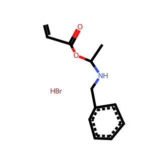 Br.C=CC(=O)OC(C)NCc1ccccc1